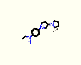 CCNc1ccc(N2CC[C@H](N3CCC[C@@H]3C)C2)cc1